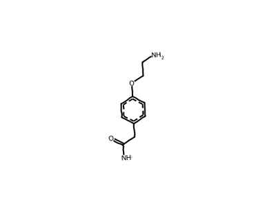 [NH]C(=O)Cc1ccc(OCCN)cc1